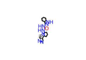 CC(C)C1N=NC=C1c1cccc(NC(=O)Nc2n[nH]c3ccccc23)n1